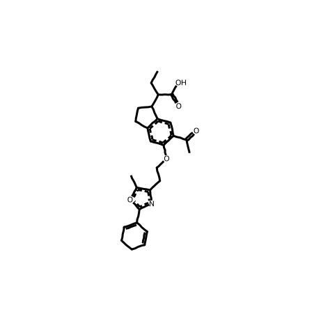 CCC(C(=O)O)C1CCc2cc(OCCc3nc(C4=CCCC=C4)oc3C)c(C(C)=O)cc21